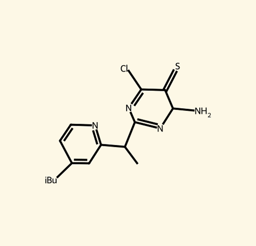 CCC(C)c1ccnc(C(C)C2=NC(N)C(=S)C(Cl)=N2)c1